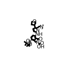 CN(C)Cc1nc(Nc2ccc(B3OC(C)(C)C(C)(C)O3)c3c2C(=O)N(C(=O)O)C3)ccc1C1CCOC1